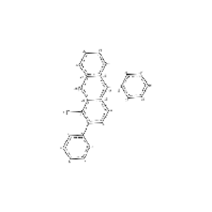 Fc1c(-c2ccccc2)ccc2c(-c3ccccc3)c3ccccc3nc12